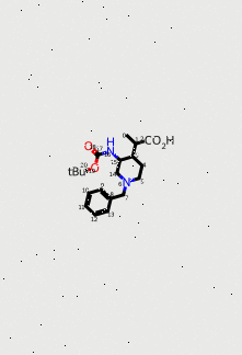 CC(C(=O)O)C1CCN(Cc2ccccc2)CC1NC(=O)OC(C)(C)C